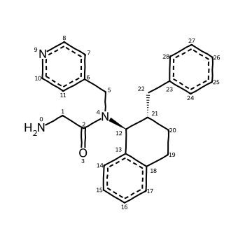 NCC(=O)N(Cc1ccncc1)[C@@H]1c2ccccc2CC[C@H]1Cc1ccccc1